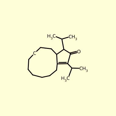 CC(C)C1=C2CCCCCCCCCC2C(C(C)C)C1=O